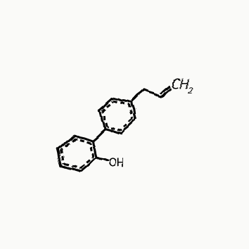 C=CCc1ccc(-c2ccccc2O)cc1